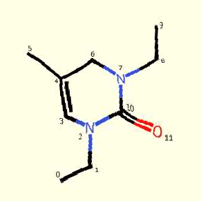 CCN1C=C(C)CN(CC)C1=O